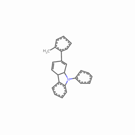 Cc1ccccc1C1=CC2C(C=C1)c1ccccc1N2c1ccccc1